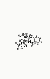 C[C@H](c1ccccc1)N1C[C@]2(C(=O)OC(C)(C)C)CCC[C@]2(F)C1=O